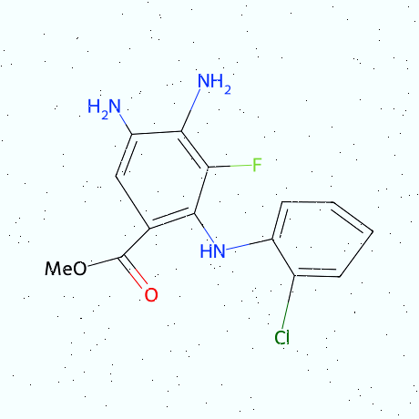 COC(=O)c1cc(N)c(N)c(F)c1Nc1ccccc1Cl